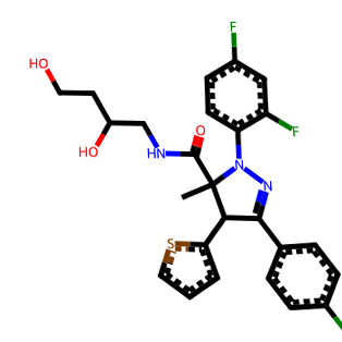 CC1(C(=O)NCC(O)CCO)C(c2cccs2)C(c2ccc(F)cc2)=NN1c1ccc(F)cc1F